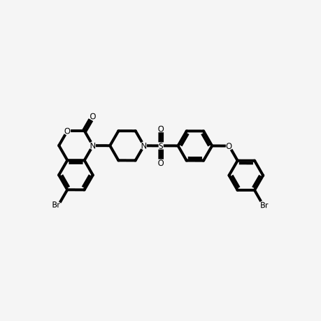 O=C1OCc2cc(Br)ccc2N1C1CCN(S(=O)(=O)c2ccc(Oc3ccc(Br)cc3)cc2)CC1